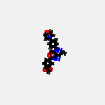 CC(C)CC(NC(=O)c1ccc2c(c1)OCO2)C(=O)Nc1ccc(N2CCOCC2)cc1